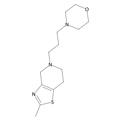 Cc1nc2c(s1)CCN(CCCN1CCOCC1)C2